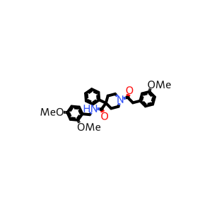 COc1cccc(CC(=O)N2CCC(C(=O)NCc3ccc(OC)cc3OC)(c3ccccc3)CC2)c1